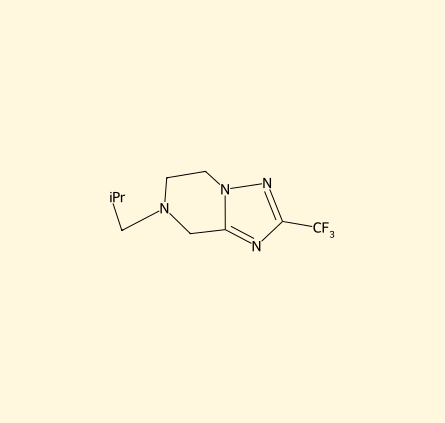 CC(C)CN1CCn2nc(C(F)(F)F)nc2C1